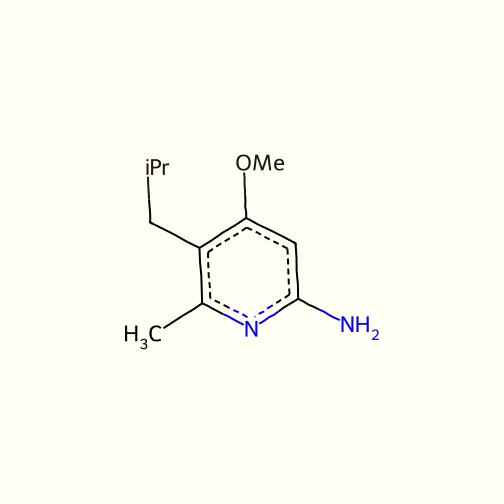 COc1cc(N)nc(C)c1CC(C)C